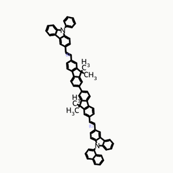 CC1(C)c2cc(/C=C/c3ccc4c(c3)c3ccccc3n4-c3ccccc3)ccc2-c2ccc(-c3ccc4c(c3)C(C)(C)c3cc(/C=C/c5ccc6c(c5)c5ccccc5n6-c5cccc6ccccc56)ccc3-4)cc21